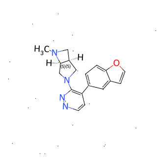 CN1C[C@H]2CN(c3nnccc3-c3ccc4occc4c3)C[C@H]21